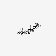 Cc1cc(C(=O)NC2CCN(c3ccc(C(=O)NC4CN(C)C4)cn3)C3CCC3C2)c(C)cc1C(N)=O